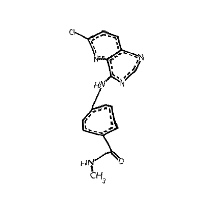 CNC(=O)c1ccc(Nc2ncnc3ccc(Cl)nc23)cc1